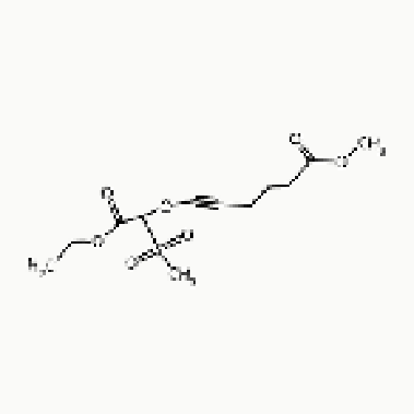 CCOC(=O)C(CC#CCCCC(=O)OC)S(C)(=O)=O